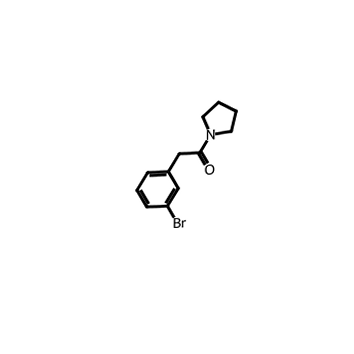 O=C(Cc1cccc(Br)c1)N1CCCC1